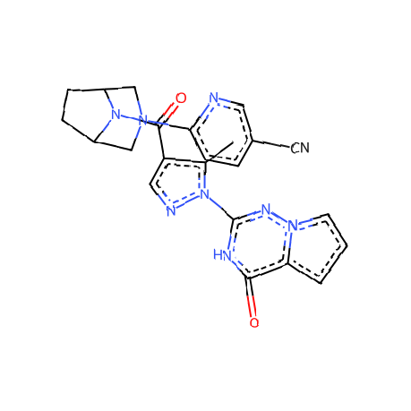 Cc1c(C(=O)N2C3CCC2CN(c2ccc(C#N)cn2)C3)cnn1-c1nn2cccc2c(=O)[nH]1